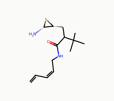 C=C/C=C\CNC(=O)C(C[C@H]1S[C@H]1N)C(C)(C)C